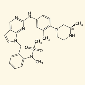 Cc1cc(Nc2ncc3ccn(Cc4ccccc4N(C)S(C)(=O)=O)c3n2)ccc1N1CCN[C@H](C)C1